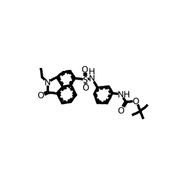 CCN1C(=O)c2cccc3c(S(=O)(=O)Nc4cccc(NC(=O)OC(C)(C)C)c4)ccc1c23